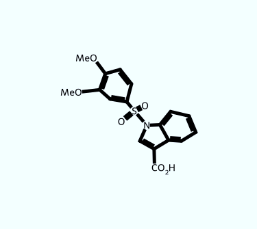 COc1ccc(S(=O)(=O)n2cc(C(=O)O)c3ccccc32)cc1OC